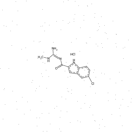 CNC(N)=NC(=O)c1cc2cc(Cl)ccc2[nH]1.Cl